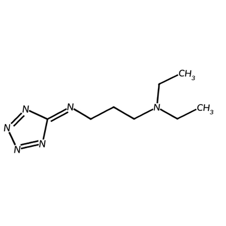 CCN(CC)CCCN=C1N=NN=N1